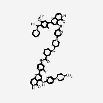 CC(C)Oc1cc(-c2cc(Nc3ccc(N4CCC(OC5CCCC(C(=O)Nc6ccc(-c7cc(Nc8ccc(N9CCN(C)CC9)cn8)c8c(=O)[nH]ccc8n7)c(F)c6)C5)CC4)cn3)c3c(=O)[nH]ccc3n2)c(F)cc1C(O)N1CCCCC1